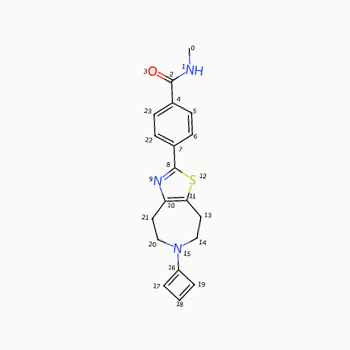 CNC(=O)c1ccc(-c2nc3c(s2)CCN(C2=CC=C2)CC3)cc1